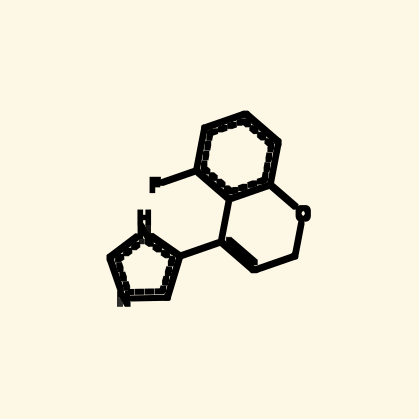 Fc1cccc2c1C(c1cnc[nH]1)=CCO2